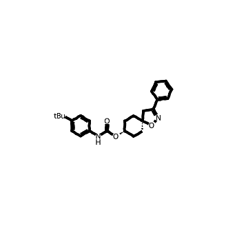 CC(C)(C)c1ccc(NC(=O)O[C@H]2CC[C@]3(CC2)CC(c2ccccc2)=NO3)cc1